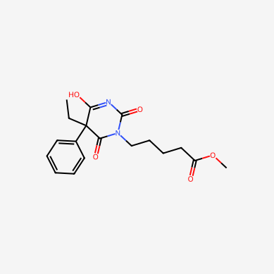 CCC1(c2ccccc2)C(=O)N(CCCCC(=O)OC)C(=O)N=C1O